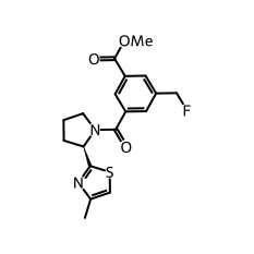 COC(=O)c1cc(CF)cc(C(=O)N2CCC[C@@H]2c2nc(C)cs2)c1